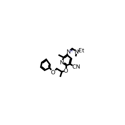 CCN(C)/C=N\c1cc(C#N)c(OC(C)COc2ccccc2)nc1C